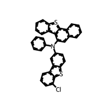 Clc1cccc2c1sc1ccc(N(c3ccccc3)c3cc4ccccc4c4sc5ccccc5c34)cc12